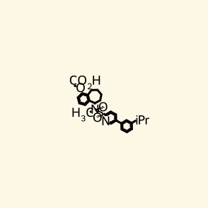 CC(C)c1cccc(-c2ccc(S(=O)(=O)N(C)C3CCCCc4c(OCC(=O)O)cccc43)nc2)c1